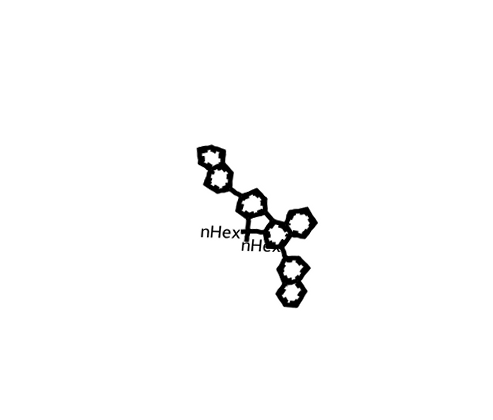 CCCCCCC1(CCCCCC)c2cc(-c3ccc4ccccc4c3)ccc2-c2c1cc(-c1ccc3ccccc3c1)c1ccccc21